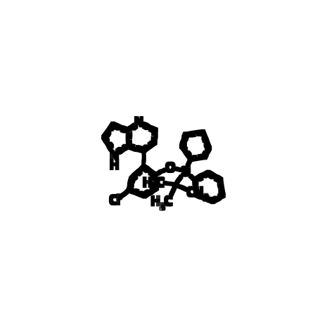 CC(C)(C)[Si](Oc1ccc(Cl)cc1-c1ccnc2cc[nH]c12)(c1ccccc1)c1ccccc1